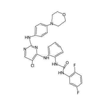 O=C(Nc1cc(F)ccc1F)Nc1ccccc1Nc1nc(Nc2ccc(N3CCOCC3)cc2)ncc1Cl